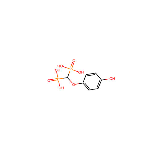 O=P(O)(O)C(Oc1ccc(O)cc1)P(=O)(O)O